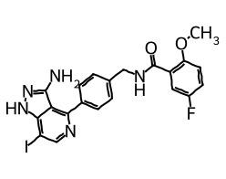 COc1ccc(F)cc1C(=O)NCc1ccc(-c2ncc(I)c3[nH]nc(N)c23)cc1